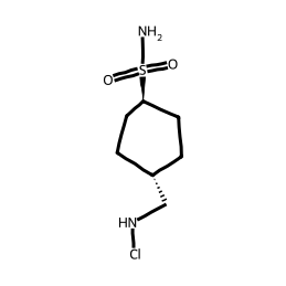 NS(=O)(=O)[C@H]1CC[C@H](CNCl)CC1